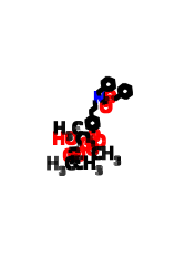 COC(=O)[C@@]1(Oc2ccc(CCCN(Cc3ccccc3)C(=O)OCc3ccccc3)cc2)C[C@@H](C)[C@@H](O)C([C@H]2COC(C)(C)O2)O1